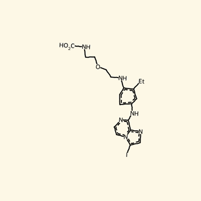 CCc1cc(Nc2nccn3c(I)cnc23)ccc1NCCOCCNC(=O)O